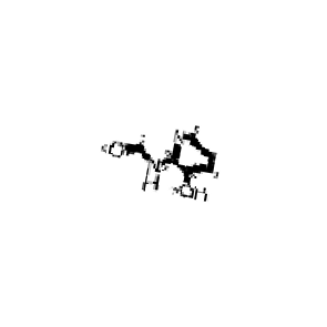 O=CNc1ncccc1O